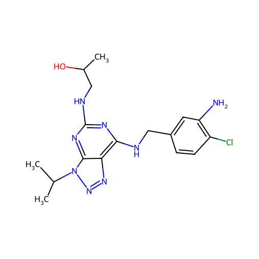 CC(O)CNc1nc(NCc2ccc(Cl)c(N)c2)c2nnn(C(C)C)c2n1